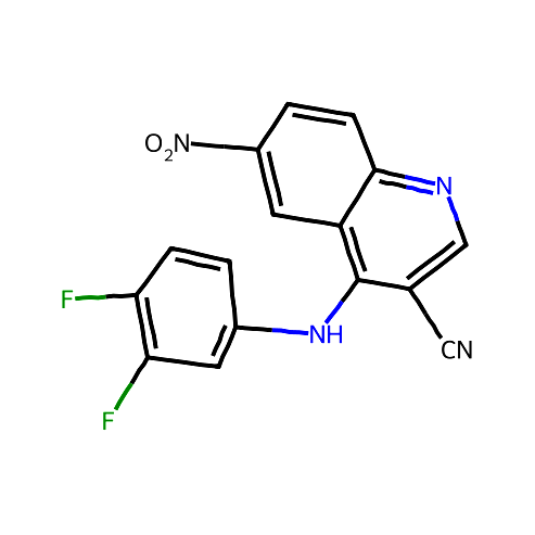 N#Cc1cnc2ccc([N+](=O)[O-])cc2c1Nc1ccc(F)c(F)c1